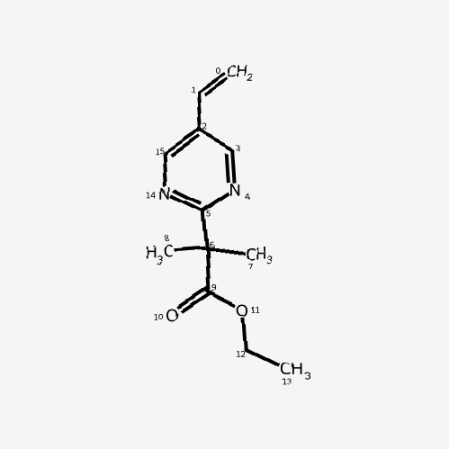 C=Cc1cnc(C(C)(C)C(=O)OCC)nc1